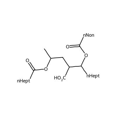 CCCCCCCCCC(=O)OC(CCCCCCC)C(CC(C)OC(=O)CCCCCCC)C(=O)O